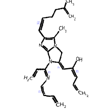 C=C/C=C\N=C(/C=C)N1/C(=C/C(O)=C\C=C)Cn2c1nc(/C=C\CCC(=C)C)c2C